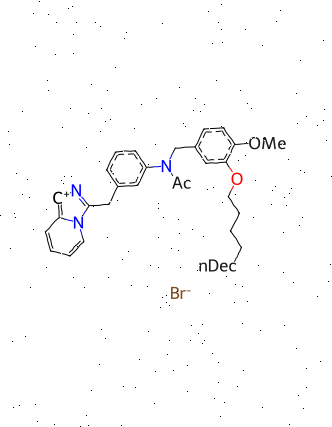 CCCCCCCCCCCCCCOc1cc(CN(C(C)=O)c2cccc(CC3=N[C+]=C4C=CC=CN43)c2)ccc1OC.[Br-]